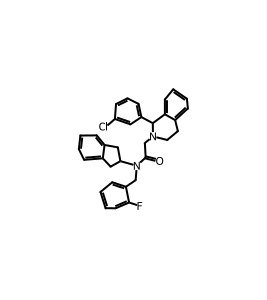 O=C(CN1CCc2ccccc2C1c1cccc(Cl)c1)N(Cc1ccccc1F)C1Cc2ccccc2C1